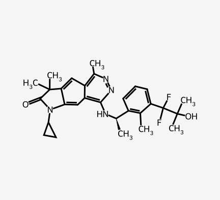 Cc1c([C@@H](C)Nc2nnc(C)c3cc4c(cc23)N(C2CC2)C(=O)C4(C)C)cccc1C(F)(F)C(C)(C)O